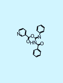 O=C(NC(=Nc1ccccc1)OC(=O)c1cccnc1)c1ccccc1